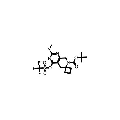 CSc1nc2c(c(OS(=O)(=O)C(F)(F)F)n1)CC1(CCC1)N(C(=O)OC(C)(C)C)C2